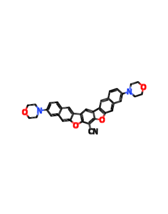 N#Cc1c2oc3cc4cc(N5CCOCC5)ccc4cc3c2cc2c1oc1cc3cc(N4CCOCC4)ccc3cc12